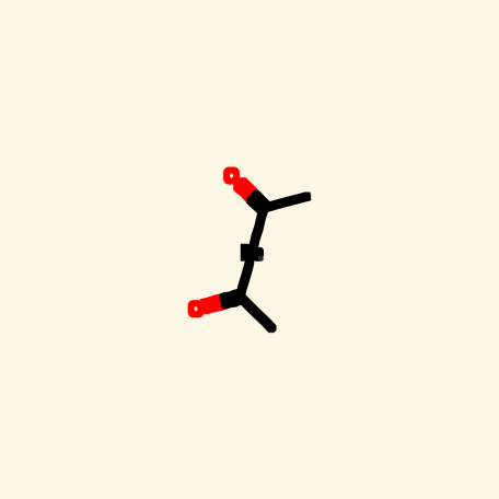 C[C](=O)[Be][C](C)=O